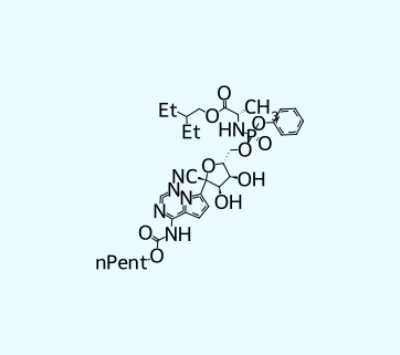 CCCCCOC(=O)Nc1ncnn2c([C@]3(C#N)O[C@H](COP(=O)(N[C@@H](C)C(=O)OCC(CC)CC)Oc4ccccc4)[C@@H](O)[C@H]3O)ccc12